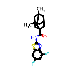 CC12CC3CC(C)(C1)CC(C(=O)Nc1nc4c(F)cc(F)cc4s1)(C3)C2